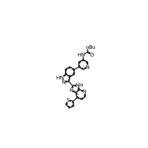 CCCCC(=O)Nc1cncc(-c2ccc3[nH]nc(-c4nc5c(-c6cccs6)ccnc5[nH]4)c3c2)c1